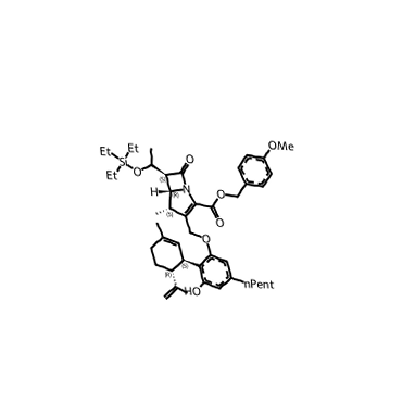 C=C(C)[C@@H]1CCC(C)=C[C@H]1c1c(O)cc(CCCCC)cc1OCC1=C(C(=O)OCc2ccc(OC)cc2)N2C(=O)[C@H](C(C)O[Si](CC)(CC)CC)[C@H]2[C@H]1C